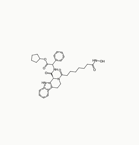 O=C(CCCCCCC(=O)N1CCc2c([nH]c3ccccc23)[C@H]1C(=O)NC(C(=O)OC1CCCC1)c1ccccc1)NO